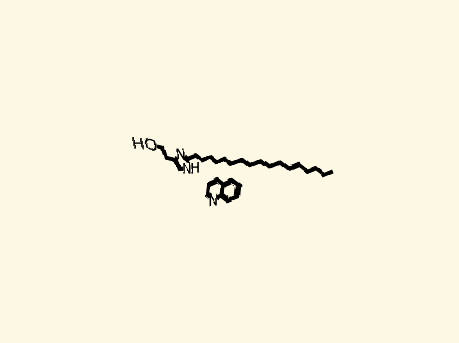 CCCCCCCCCCCCCCCCCc1nc(CCO)c[nH]1.c1ccc2ncccc2c1